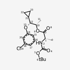 C[C@H](NC(=O)OC(C)(C)C)C(=O)O[C@@H](C)[C@H](Oc1cccc(Cl)c1)C1CC1